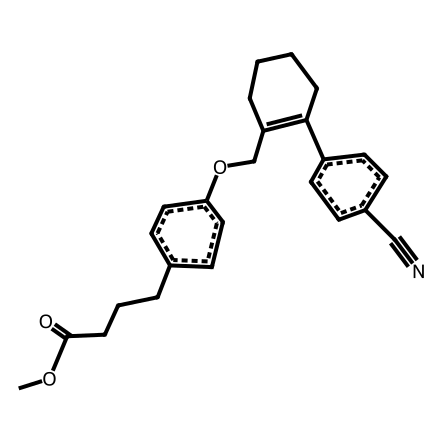 COC(=O)CCCc1ccc(OCC2=C(c3ccc(C#N)cc3)CCCC2)cc1